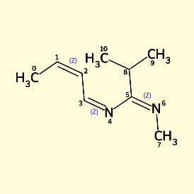 C\C=C/C=N\C(=N/C)C(C)C